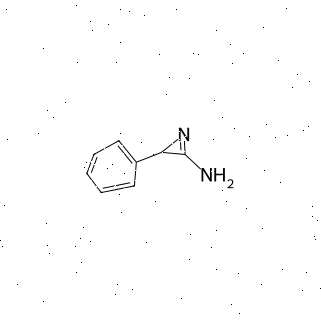 NC1=NC1c1ccccc1